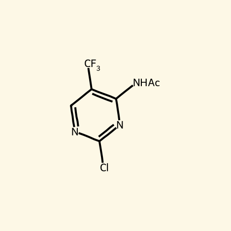 CC(=O)Nc1nc(Cl)ncc1C(F)(F)F